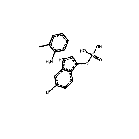 Cc1ccccc1N.O=P(O)(O)Oc1c[nH]c2cc(Cl)ccc12